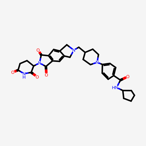 O=C1CCC(N2C(=O)c3cc4c(cc3C2=O)CN(CC2CCN(c3ccc(C(=O)NC5CCCC5)cc3)CC2)C4)C(=O)N1